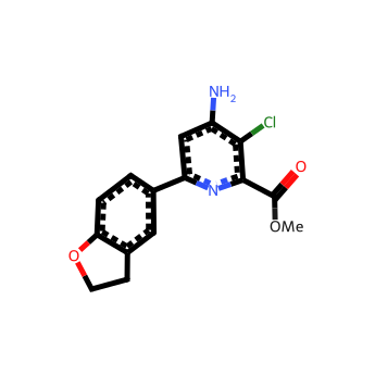 COC(=O)c1nc(-c2ccc3c(c2)CCO3)cc(N)c1Cl